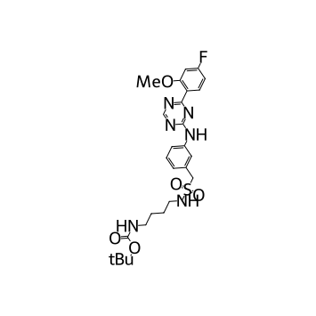 COc1cc(F)ccc1-c1ncnc(Nc2cccc(CS(=O)(=O)NCCCCNC(=O)OC(C)(C)C)c2)n1